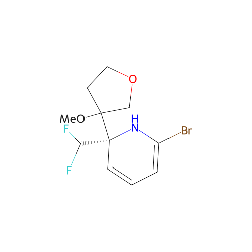 COC1([C@]2(C(F)F)C=CC=C(Br)N2)CCOC1